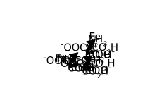 N.N.N.O=C([O-])C[N+](CC(=O)[O-])(CC(=O)O)C1(C(=O)O)CC1.O=C([O-])C[N+](CC(=O)[O-])(CC(=O)O)C1(C(=O)O)CC1.O=C([O-])C[N+](CC(=O)[O-])(CC(=O)O)C1(C(=O)O)CC1.[Fe].[Fe]